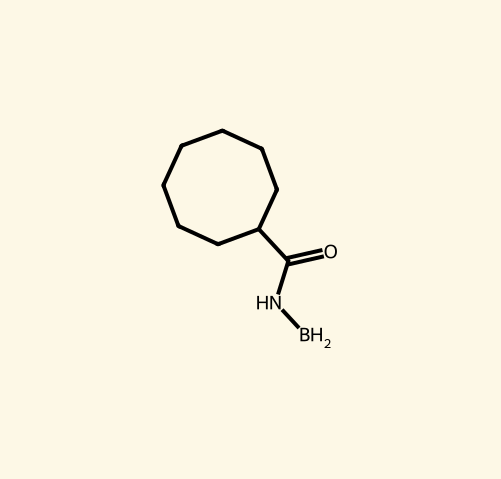 BNC(=O)C1CCCCCCC1